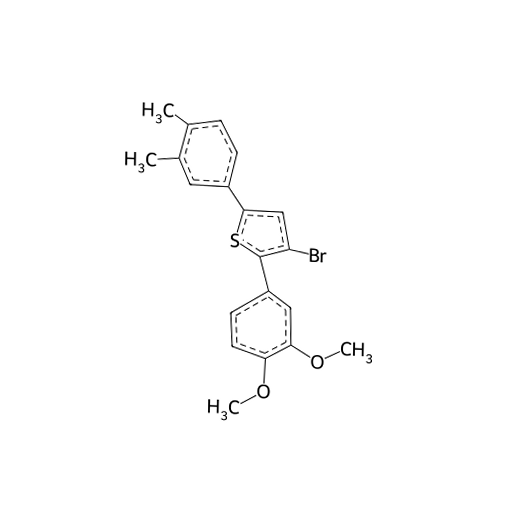 COc1ccc(-c2sc(-c3ccc(C)c(C)c3)cc2Br)cc1OC